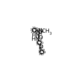 Cc1cc(NC(=O)Nc2ccc(OCc3ccccc3)cc2)n(-c2ccccc2)n1